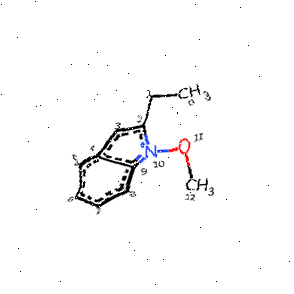 C[CH]c1cc2ccccc2n1OC